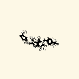 Cn1c(NC2CCC(O)C2)nc2c1c(=O)n(Cc1ccc(C(F)(F)F)cc1)c(=O)n2C